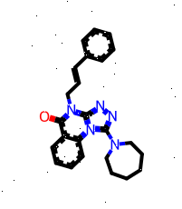 O=c1c2ccccc2n2c(N3CCCCCC3)nnc2n1C/C=C/c1ccccc1